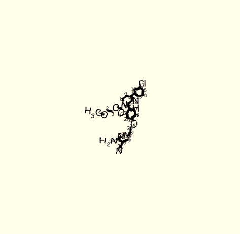 COCCOC(=O)N1CCc2c([nH]c3ccc(Cl)cc23)C1c1ccc(OCCn2cc(C#N)c(N)n2)cc1